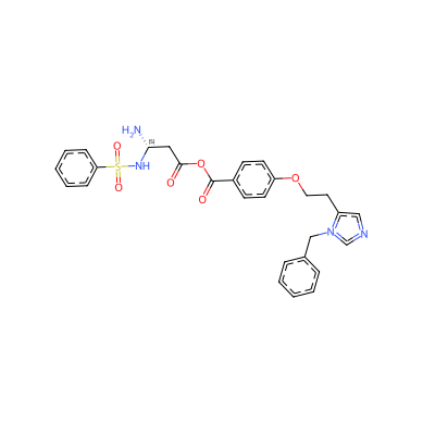 N[C@H](CC(=O)OC(=O)c1ccc(OCCc2cncn2Cc2ccccc2)cc1)NS(=O)(=O)c1ccccc1